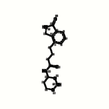 O=C(CCCc1cccc2c1CNC2=O)NC1CCONO1